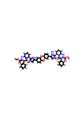 COC(=O)N[C@@H](C(=O)N1CCCC[C@H]1c1ncc(-c2ccc3c(c2)Oc2ccc(-c4cnc([C@@H]5CCCCN5C(=O)[C@H](NC(=O)OC)c5ccccc5)[nH]4)cc2O3)[nH]1)c1ccccc1